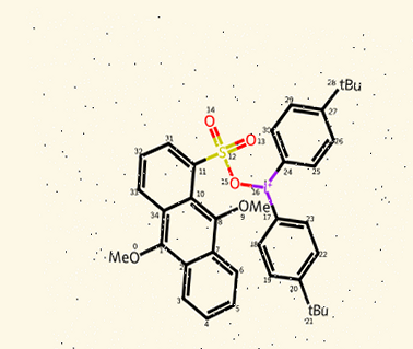 COc1c2ccccc2c(OC)c2c(S(=O)(=O)O[I+](c3ccc(C(C)(C)C)cc3)c3ccc(C(C)(C)C)cc3)cccc12